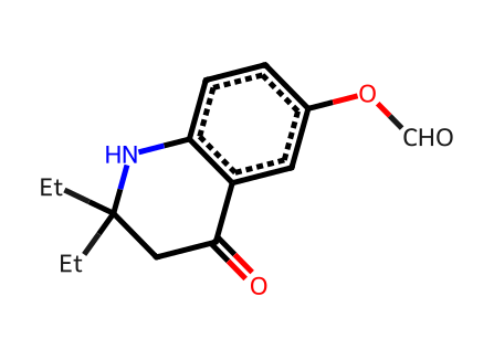 CCC1(CC)CC(=O)c2cc(OC=O)ccc2N1